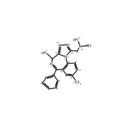 CCCC1N=C(c2ccccc2)c2cc(C(F)(F)F)ccc2-n2c(CN(CC)CCC)nnc21